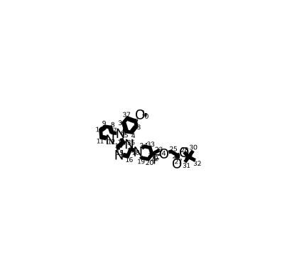 COc1ccc(N(c2ccccn2)c2cncc(N3CCC(F)(COCC(=O)OC(C)(C)C)CC3)n2)cc1